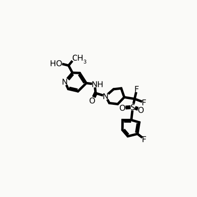 CC(O)c1cc(NC(=O)N2CCC(C(F)(F)S(=O)(=O)c3cccc(F)c3)CC2)ccn1